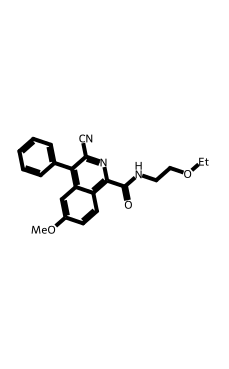 CCOCCNC(=O)c1nc(C#N)c(-c2ccccc2)c2cc(OC)ccc12